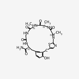 C[C@@H]1NC(=O)[C@H](C)NC(=O)[C@H](C)Nc2ncc(s2)Cc2cc(ccc2O)C[C@@H](C(N)=O)NC(=O)CNC1=O